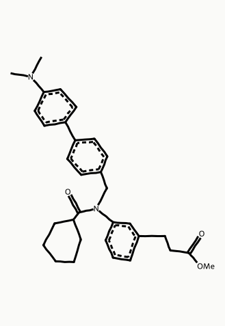 COC(=O)CCc1cccc(N(Cc2ccc(-c3ccc(N(C)C)cc3)cc2)C(=O)C2CCCCC2)c1